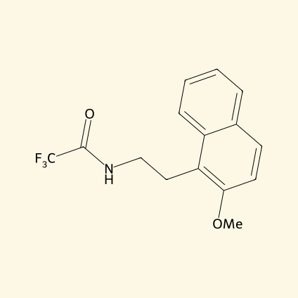 COc1ccc2ccccc2c1CCNC(=O)C(F)(F)F